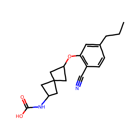 CCCc1ccc(C#N)c(OC2CC3(CC(NC(=O)O)C3)C2)c1